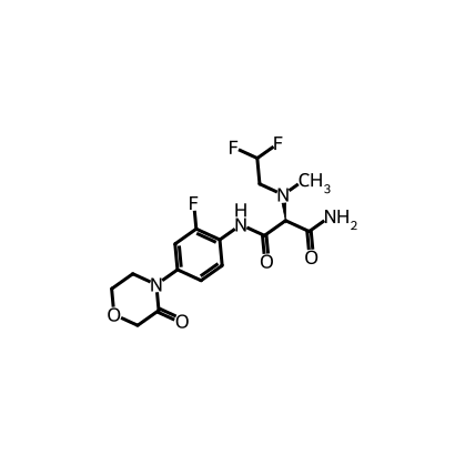 CN(CC(F)F)[C@@H](C(N)=O)C(=O)Nc1ccc(N2CCOCC2=O)cc1F